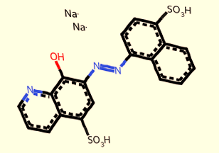 O=S(=O)(O)c1ccc(N=Nc2cc(S(=O)(=O)O)c3cccnc3c2O)c2ccccc12.[Na].[Na]